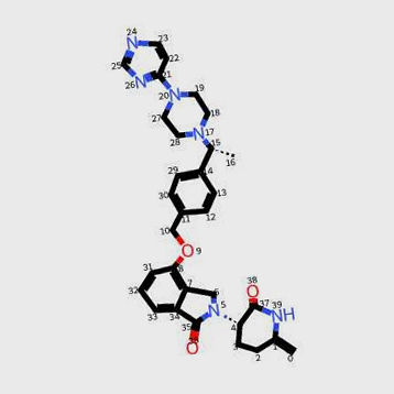 C=C1CC[C@H](N2Cc3c(OCc4ccc([C@@H](C)N5CCN(c6ccncn6)CC5)cc4)cccc3C2=O)C(=O)N1